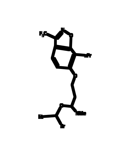 CCCc1c(OCCC(NC)OC(Br)CC)ccc2c(C(F)(F)F)noc12